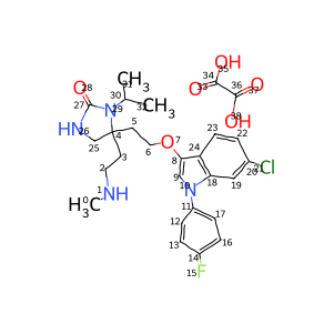 CNCCC1(CCOc2cn(-c3ccc(F)cc3)c3cc(Cl)ccc23)CNC(=O)N1C(C)C.O=C(O)C(=O)O